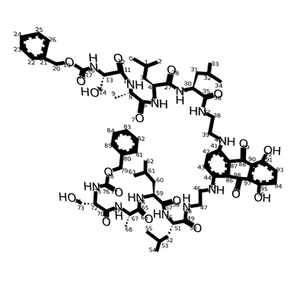 CC(C)C[C@H](NC(=O)[C@H](C)NC(=O)[C@H](CO)NC(=O)OCc1ccccc1)C(=O)N[C@@H](CC(C)C)C(=O)NCCNc1ccc(NCCNC(=O)[C@H](CC(C)C)NC(=O)[C@H](CC(C)C)NC(=O)[C@H](C)NC(=O)[C@H](CO)NC(=O)OCc2ccccc2)c2c1C(=O)c1c(O)ccc(O)c1C2=O